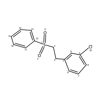 O=S(=O)(CCc1[c]ccc(Cl)c1)c1ccccc1